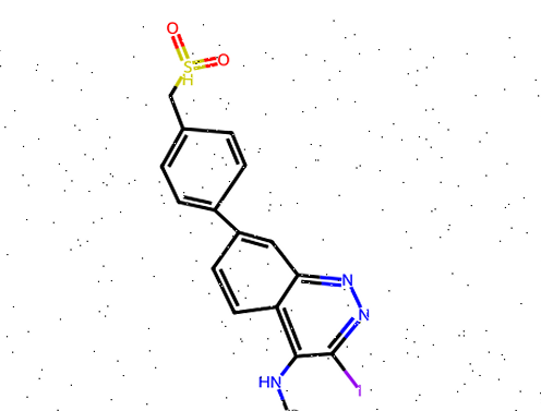 CC(C)Nc1c(I)nnc2cc(-c3ccc(C[SH](=O)=O)cc3)ccc12